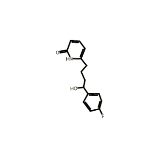 O=c1cccc(CCCC(O)c2ccc(F)cc2)[nH]1